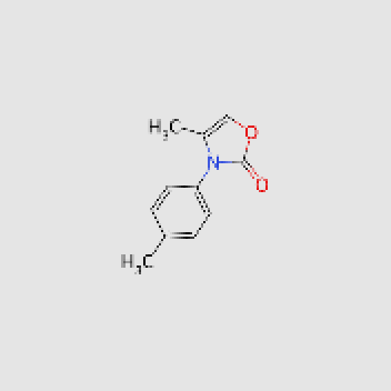 Cc1ccc(-n2c(C)coc2=O)cc1